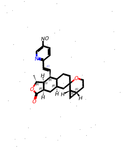 C[C@H]1OC(=O)[C@@H]2C[C@@H]3CC4(CCC3[C@H](/C=C/c3ccc(N=O)cn3)[C@H]12)OCC[C@@H]1C[C@@H]14